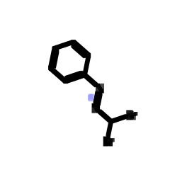 BrC(Br)/N=N/c1ccccc1